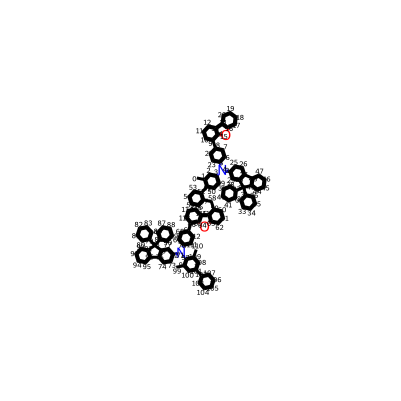 Cc1cc(N(c2ccc(-c3cccc4c3oc3ccccc34)cc2)c2ccc3c(c2)C(c2ccccc2)(c2ccccc2)c2ccccc2-3)ccc1-c1ccccc1Cc1cccc2oc3c(-c4ccc(N(c5ccc6c(c5)C(c5ccccc5)(c5ccccc5)c5ccccc5-6)c5c(C)cc(-c6ccccc6)cc5C)cc4)cccc3c12